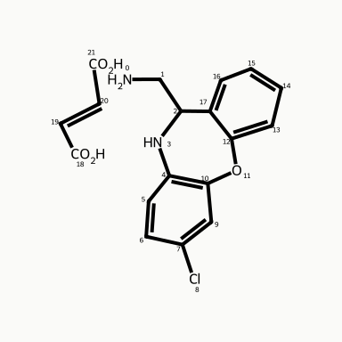 NCC1Nc2ccc(Cl)cc2Oc2ccccc21.O=C(O)/C=C/C(=O)O